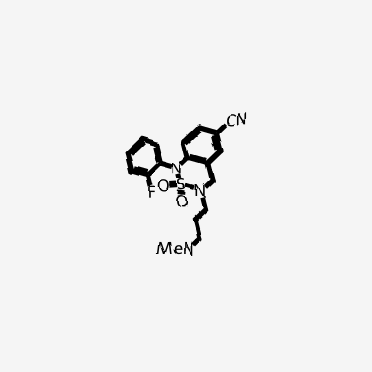 CNCCCN1Cc2cc(C#N)ccc2N(c2ccccc2F)S1(=O)=O